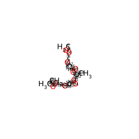 C=CC(=O)OCCCCOC1=CCC=C(C(=O)OC2=C/C(=C\OC(=O)c3ccc(OCCCCOC(=O)C(=C)C)cc3)CC(C)C2)C=C1